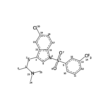 CC(Sc1cn(S(=O)(=O)c2cccc(C(F)(F)F)c2)c2ccc(Cl)cc12)N(C)C